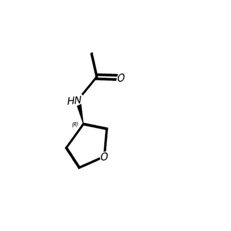 CC(=O)N[C@@H]1CCOC1